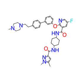 Cc1cc(C(=O)NC2CCC(NC(=O)c3cc(F)cnc3Oc3cccc(-c4ccc(CCN5CCN(C)CC5)cc4)c3)CC2)nn1C